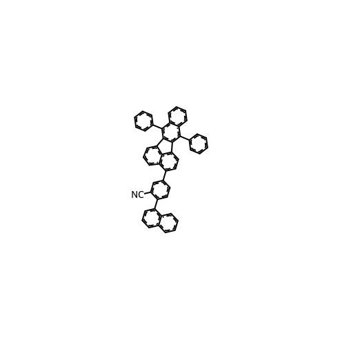 N#Cc1cc(-c2ccc3c4c(cccc24)-c2c-3c(-c3ccccc3)c3ccccc3c2-c2ccccc2)ccc1-c1cccc2ccccc12